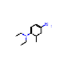 CCN(CC)C1=CC=C(N)CC1C